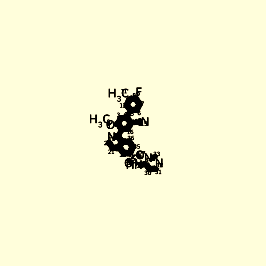 COc1cc(-c2ccc(F)c(C)c2)c(C#N)cc1-c1nccc2cc(S(=O)(=O)Nc3ccncn3)ccc12